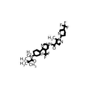 Cc1c(C(=O)Nc2cnc(C3=CCC(N(C)C(=O)C(C)(C)C)CC3)c(C(F)(F)F)c2)cnn1-c1ccc(C(F)(F)F)cn1